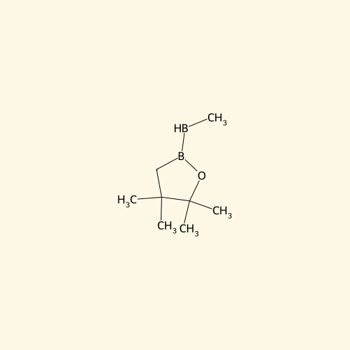 CBB1CC(C)(C)C(C)(C)O1